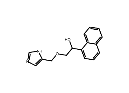 OC(COCc1cnc[nH]1)c1cccc2ccccc12